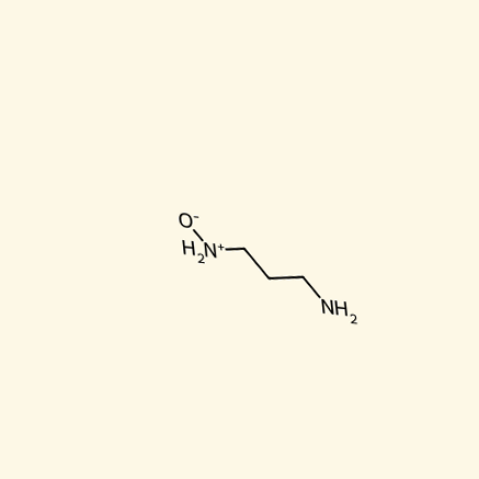 NCCC[NH2+][O-]